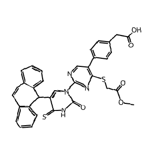 COC(=O)CSc1nc(-n2cc(C3c4ccccc4C=Cc4ccccc43)c(=S)[nH]c2=O)ncc1-c1ccc(CC(=O)O)cc1